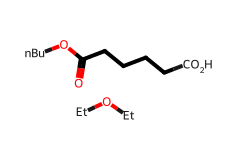 CCCCOC(=O)CCCCC(=O)O.CCOCC